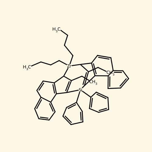 CCC[CH2][Zr]1([CH2]CCC)[CH]2C(CC)=C(c3c2ccc2ccccc32)[Si](c2ccccc2)(c2ccccc2)C2=C(CC)[CH]1c1ccc3ccccc3c12